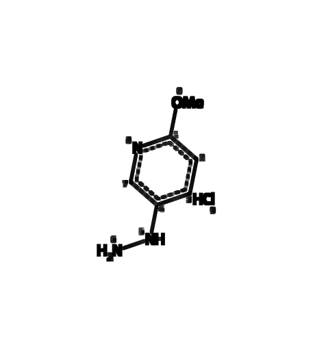 COc1ccc(NN)cn1.Cl